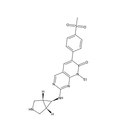 CCn1c(=O)c(-c2ccc(S(C)(=O)=O)cc2)cc2cnc(N[C@H]3[C@@H]4CNC[C@@H]43)nc21